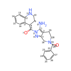 Nc1c2c(nn1C(=O)C1CCNc3ccccc31)CN(C(=O)c1ccccc1)CC2